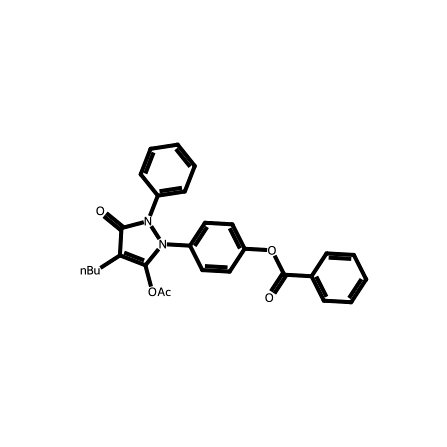 CCCCc1c(OC(C)=O)n(-c2ccc(OC(=O)c3ccccc3)cc2)n(-c2ccccc2)c1=O